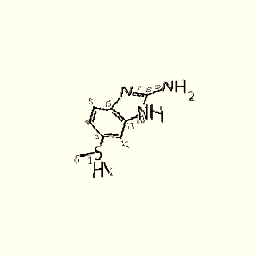 C[SH](C)c1ccc2nc(N)[nH]c2c1